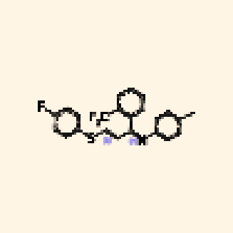 Cc1ccc(/N=C(/C=C/Sc2ccc(F)cc2)c2ccccc2C(F)(F)F)cc1